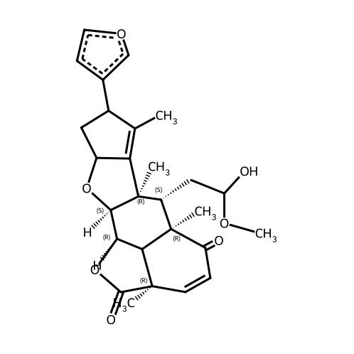 COC(O)C[C@H]1[C@]2(C)C3=C(C)C(c4ccoc4)CC3O[C@@H]2[C@@H]2OC(=O)[C@]3(C)C=CC(=O)[C@@]1(C)C23